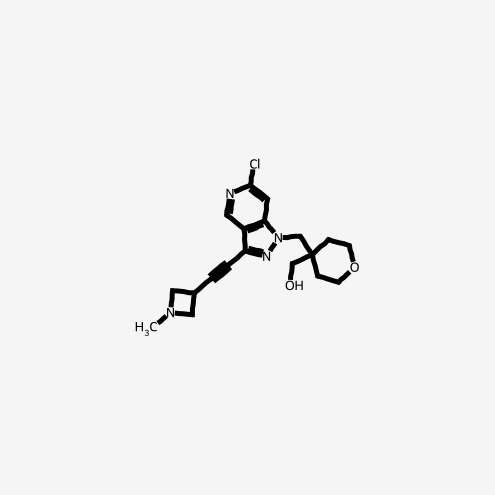 CN1CC(C#Cc2nn(CC3(CO)CCOCC3)c3cc(Cl)ncc23)C1